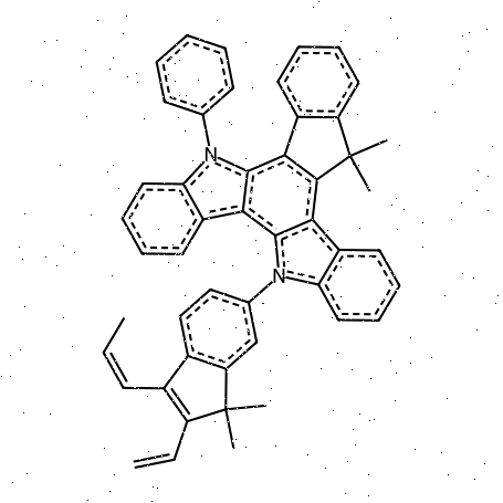 C=CC1=C(/C=C\C)c2ccc(-n3c4ccccc4c4c5c(c6c(c7ccccc7n6-c6ccccc6)c43)-c3ccccc3C5(C)C)cc2C1(C)C